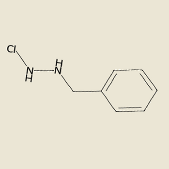 ClNNCc1ccccc1